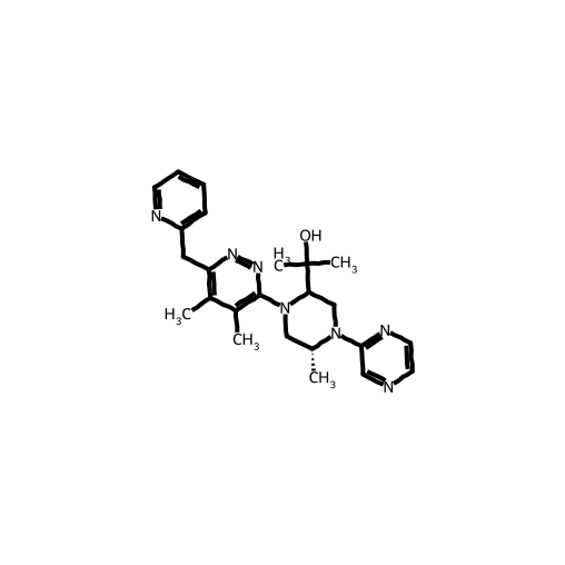 Cc1c(Cc2ccccn2)nnc(N2C[C@@H](C)N(c3cnccn3)CC2C(C)(C)O)c1C